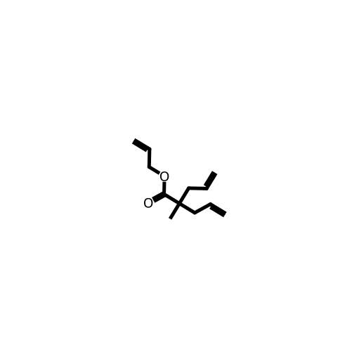 C=CCOC(=O)C(C)(CC=C)CC=C